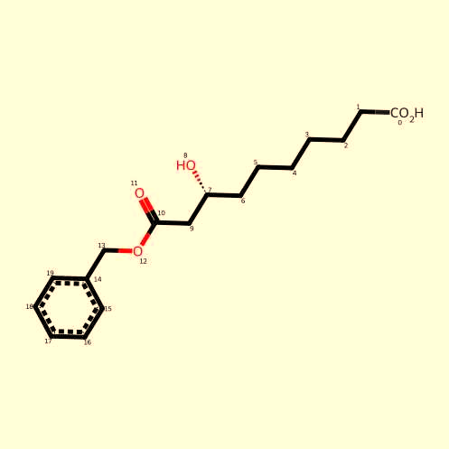 O=C(O)CCCCCC[C@@H](O)CC(=O)OCc1ccccc1